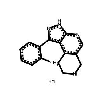 Cc1ccccc1-c1n[nH]c2ncc3c(c12)CCNC3.Cl